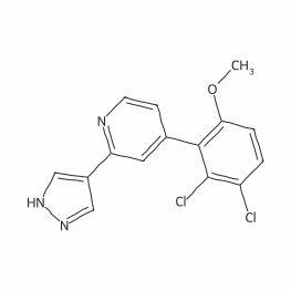 COc1ccc(Cl)c(Cl)c1-c1ccnc(-c2cn[nH]c2)c1